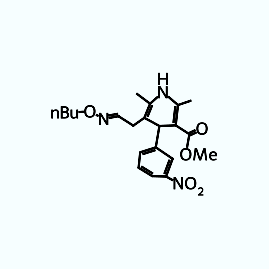 CCCCON=CCC1=C(C)NC(C)=C(C(=O)OC)C1c1cccc([N+](=O)[O-])c1